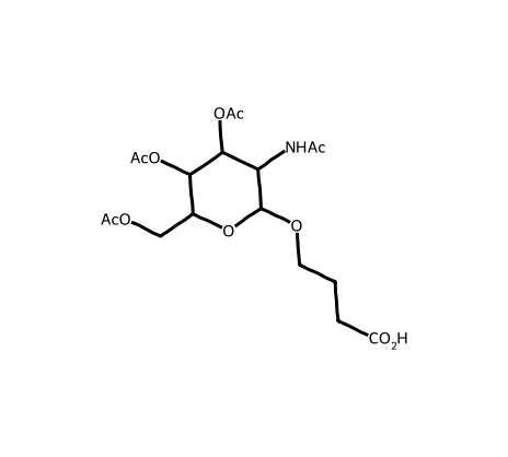 CC(=O)NC1C(OCCCC(=O)O)OC(COC(C)=O)C(OC(C)=O)C1OC(C)=O